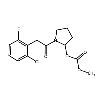 COC(=O)OC1CCCN1C(=O)Cc1c(F)cccc1Cl